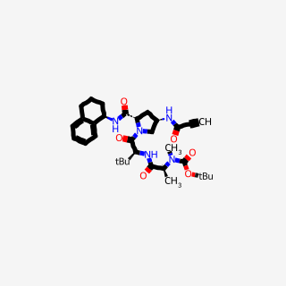 C#CC(=O)N[C@H]1C[C@@H](C(=O)N[C@@H]2CCCc3ccccc32)N(C(=O)[C@@H](NC(=O)[C@H](C)N(C)C(=O)OC(C)(C)C)C(C)(C)C)C1